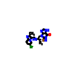 Cc1nc2ccc(Br)cn2c1CNC(C)Cn1c(=S)[nH]c(=O)c2[nH]cnc21